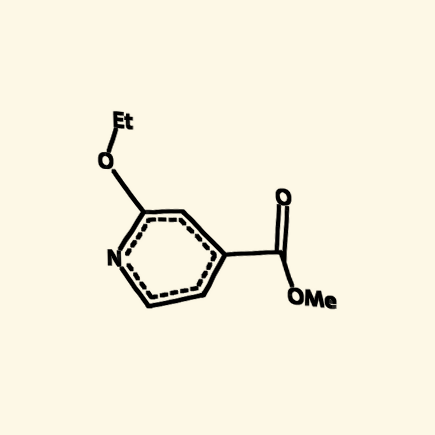 CCOc1cc(C(=O)OC)ccn1